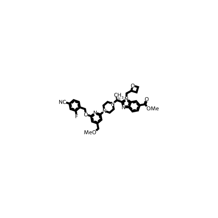 COCc1cc(OCc2ccc(C#N)cc2F)nc(N2CCN([C@@H](C)c3nc4ccc(C(=O)OC)cc4n3CC3CCO3)CC2)c1